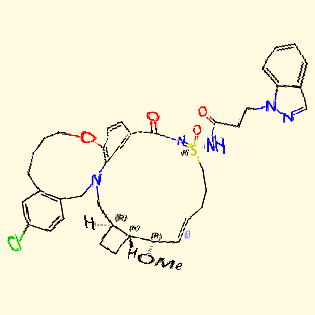 CO[C@H]1/C=C/CCC[S@@](=O)(NC(=O)CCn2ncc3ccccc32)=NC(=O)c2ccc3c(c2)N(Cc2ccc(Cl)cc2CCCCO3)C[C@@H]2CC[C@H]21